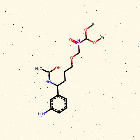 CCOC(OCC)[PH](=O)COCCCC(NB(C)O)c1cccc(N)c1